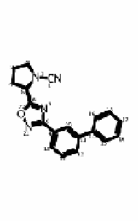 N#CN1CCCC1c1nc(-c2cccc(-c3ccccc3)c2)no1